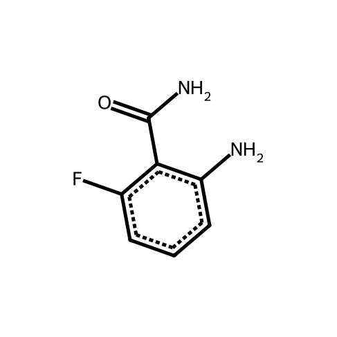 NC(=O)c1c(N)cccc1F